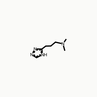 CN(C)CCCc1nnc[nH]1